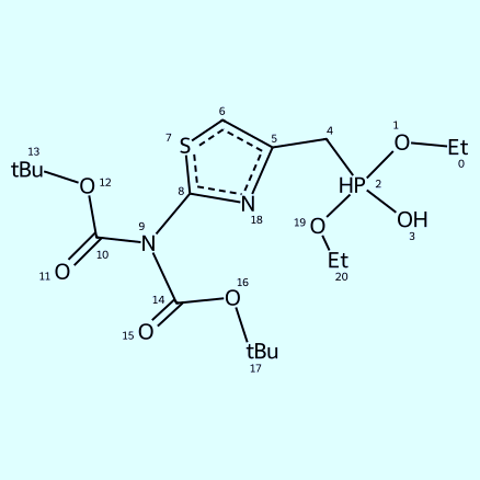 CCO[PH](O)(Cc1csc(N(C(=O)OC(C)(C)C)C(=O)OC(C)(C)C)n1)OCC